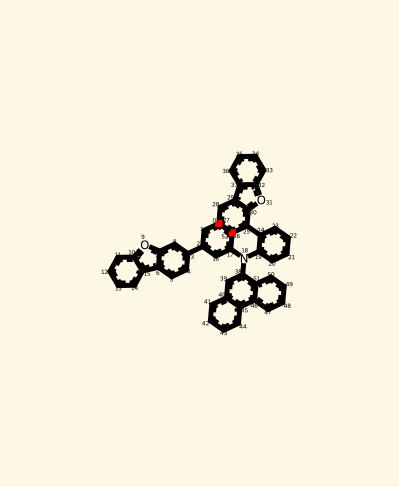 c1cc(-c2ccc3c(c2)oc2ccccc23)cc(N(c2ccccc2-c2cccc3c2oc2ccccc23)c2cc3ccccc3c3ccccc23)c1